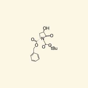 CC(C)(C)OC(=O)N1C(=O)[C@H](O)C[C@H]1C(=O)OCc1ccccc1